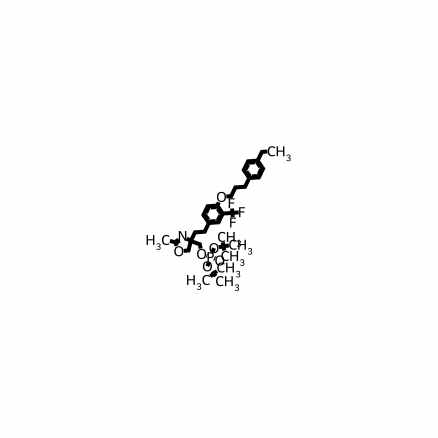 CCc1ccc(CCCOc2ccc(CCC3(COP(=O)(OC(C)(C)C)OC(C)(C)C)COC(C)=N3)cc2C(F)(F)F)cc1